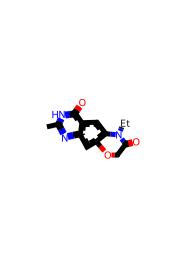 CCN1C(=O)COc2cc3nc(C)[nH]c(=O)c3cc21